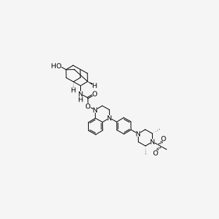 C[C@@H]1CN(c2ccc(N3CCN(OC(=O)NC4[C@@H]5CC6C[C@H]4CC(O)(C6)C5)c4ccccc43)cc2)C[C@H](C)N1S(C)(=O)=O